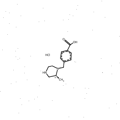 C[C@H]1CNCCN1Cc1ccc(C(=O)O)cc1.Cl